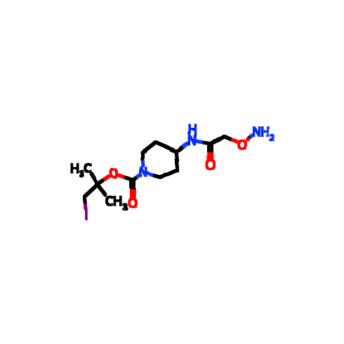 CC(C)(CI)OC(=O)N1CCC(NC(=O)CON)CC1